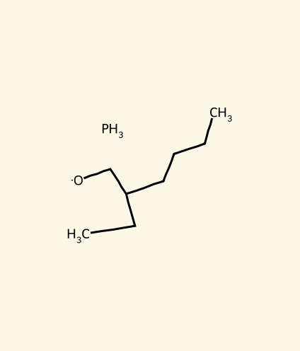 CCCCC(CC)C[O].P